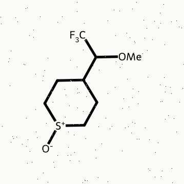 COC(C1CC[S+]([O-])CC1)C(F)(F)F